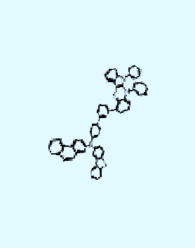 c1ccc(N2c3cccc(-c4cccc(-c5ccc(N(c6ccc7c(ccc8ccccc87)c6)c6ccc7sc8ccccc8c7c6)cc5)c4)c3Sc3c2n(-c2ccccc2)c2ccccc32)cc1